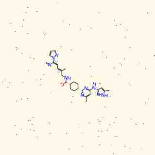 C=N/C(=C\C=C(/C)CNC(=O)[C@H]1CC[C@@H](c2nc(C)cc(Nc3cc(C)[nH]n3)n2)CC1)n1cccn1